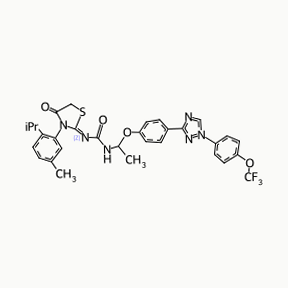 Cc1ccc(C(C)C)c(N2C(=O)CS/C2=N\C(=O)NC(C)Oc2ccc(-c3ncn(-c4ccc(OC(F)(F)F)cc4)n3)cc2)c1